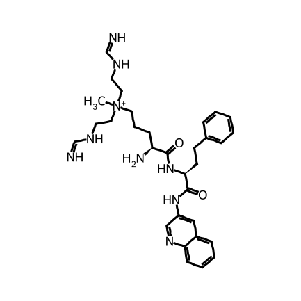 C[N+](CCC[C@H](N)C(=O)N[C@@H](CCc1ccccc1)C(=O)Nc1cnc2ccccc2c1)(CCNC=N)CCNC=N